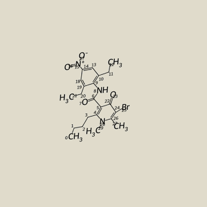 CCCCc1c(C(=O)Nc2c(CC)cc([N+](=O)[O-])cc2CC)c(=O)c(Br)c(C)n1C